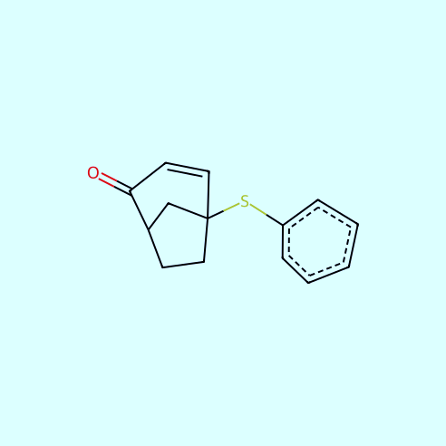 O=C1C=CC2(Sc3ccccc3)CCC1C2